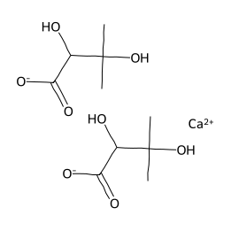 CC(C)(O)C(O)C(=O)[O-].CC(C)(O)C(O)C(=O)[O-].[Ca+2]